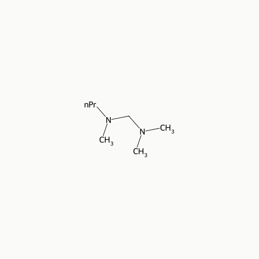 CCCN(C)CN(C)C